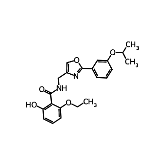 CCOc1cccc(O)c1C(=O)NCc1coc(-c2cccc(OC(C)C)c2)n1